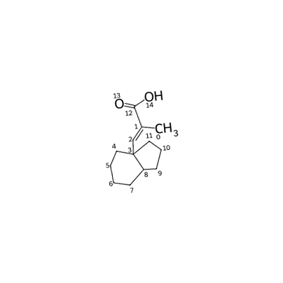 CC(=CC12CCCCC1CCC2)C(=O)O